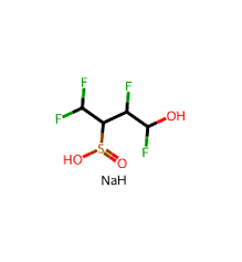 O=S(O)C(C(F)F)C(F)C(O)F.[NaH]